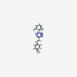 Fc1cccc(F)c1-c1ncc(C=Cc2ccc(Cl)cc2)nn1